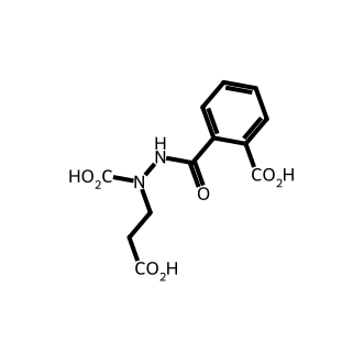 O=C(O)CCN(NC(=O)c1ccccc1C(=O)O)C(=O)O